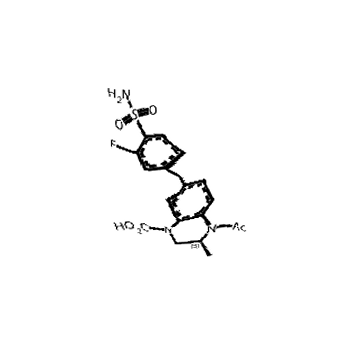 CC(=O)N1c2ccc(-c3ccc(S(N)(=O)=O)c(F)c3)cc2N(C(=O)O)C[C@@H]1C